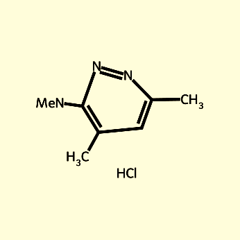 CNc1nnc(C)cc1C.Cl